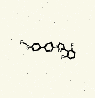 FCSc1ccc(-c2ccc([C@H]3CCC(c4c(F)cccc4F)=N3)cc2)cc1